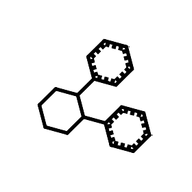 [c]1ccc(C2CCCCC2c2cc[c]cc2)cc1